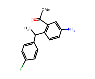 COC(=O)c1cc(N)ccc1C(C)c1ccc(F)cc1